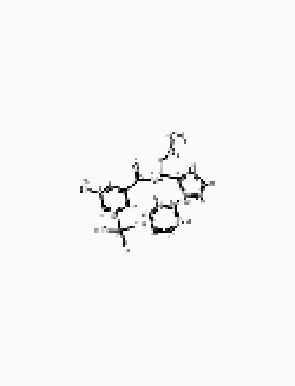 COCC(NC(=O)c1cc(Cl)cc(C(F)(F)F)c1)c1ncnn1-c1ncccn1